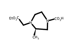 CCOC(=O)CN1CCN(C(=O)O)C[C@H]1C